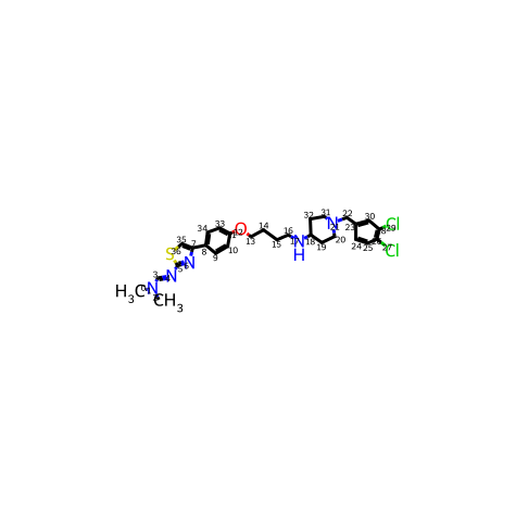 CN(C)C=Nc1nc(-c2ccc(OCCCCNC3CCN(Cc4ccc(Cl)c(Cl)c4)CC3)cc2)cs1